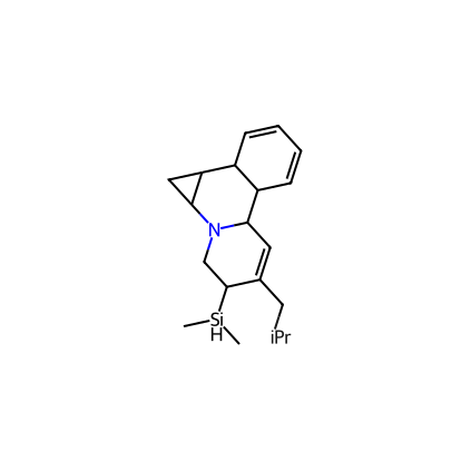 CC(C)CC1=CC2C3C=CC=CC3C3CC3N2CC1[SiH](C)C